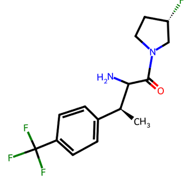 C[C@@H](c1ccc(C(F)(F)F)cc1)C(N)C(=O)N1CC[C@H](F)C1